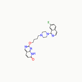 O=c1ccc2cnc(OCCCCN3CCN(c4nccc5ccc(F)cc45)CC3)nc2[nH]1